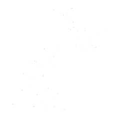 O=C(Nc1cc(C#Cc2nnc(Cl)cc2NC(=O)C(F)(F)F)ccn1)C(CC(F)F)c1ccc(F)cc1